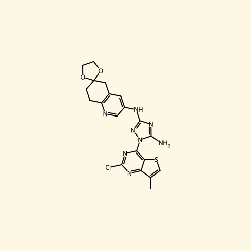 Cc1csc2c(-n3nc(Nc4cnc5c(c4)CC4(CC5)OCCO4)nc3N)nc(Cl)nc12